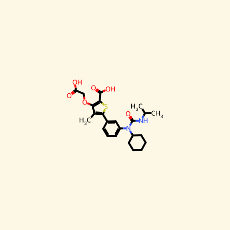 Cc1c(-c2cccc(N(C(=O)NC(C)C)C3CCCCC3)c2)sc(C(=O)O)c1OCC(=O)O